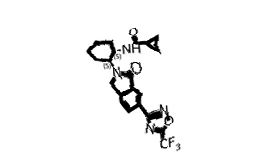 O=C(N[C@H]1CCCC[C@@H]1N1Cc2ccc(-c3noc(C(F)(F)F)n3)cc2C1=O)C1CC1